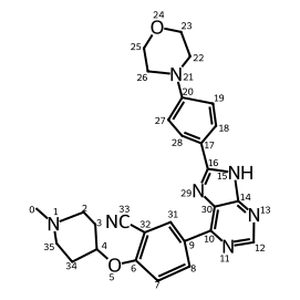 CN1CCC(Oc2ccc(-c3ncnc4[nH]c(-c5ccc(N6CCOCC6)cc5)nc34)cc2C#N)CC1